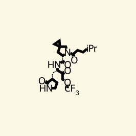 CC(C)CCC(=O)N1CC2(CC2)C[C@H]1C(=O)N[C@@H](C[C@@H]1CCNC1=O)C(=O)COC(F)(F)F